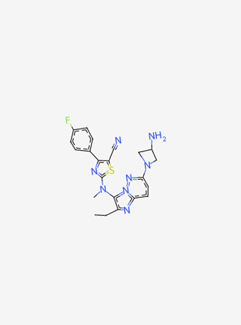 CCc1nc2ccc(N3CC(N)C3)nn2c1N(C)c1nc(-c2ccc(F)cc2)c(C#N)s1